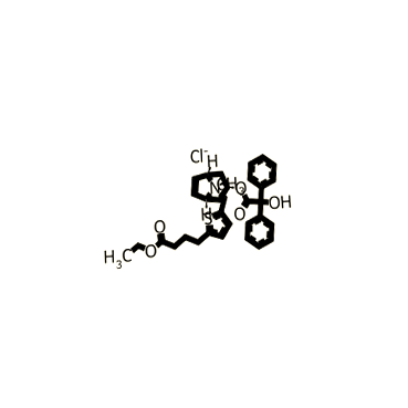 CCOC(=O)CCCc1ccc(C[N@@+]2(C)[C@@H]3C=C[C@H]2C[C@H](OC(=O)C(O)(c2ccccc2)c2ccccc2)C3)s1.[Cl-]